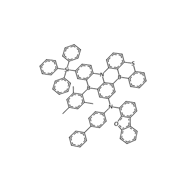 Cc1cc(C)c(B2c3cc([Si](c4ccccc4)(c4ccccc4)c4ccccc4)ccc3N3c4cccc5c4B(c4ccccc4S5)c4cc(N(c5ccc(-c6ccccc6)cc5)c5cccc6c5oc5ccccc56)cc2c43)c(C)c1